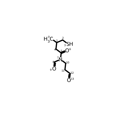 CC(CS)CC(=O)N(C=O)CCC=O